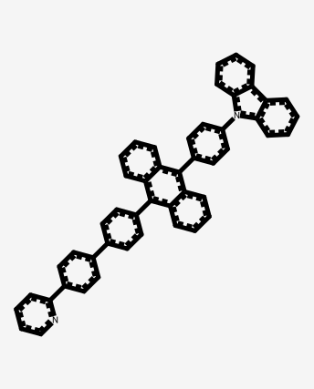 c1ccc(-c2ccc(-c3ccc(-c4c5ccccc5c(-c5ccc(-n6c7ccccc7c7ccccc76)cc5)c5ccccc45)cc3)cc2)nc1